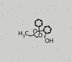 CCC1COC(c2ccccc2)(c2ccccc2CO)O1